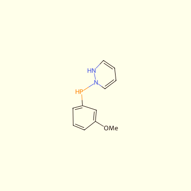 COc1cccc(PN2C=CC=CN2)c1